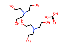 O=C(O)O.OCCN(CCO)CCO.OCCN(CCO)CCO